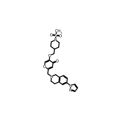 CS(=O)(=O)N1CCC(COc2coc(CN3CCc4cc(-n5cccn5)ccc4C3)cc2=O)CC1